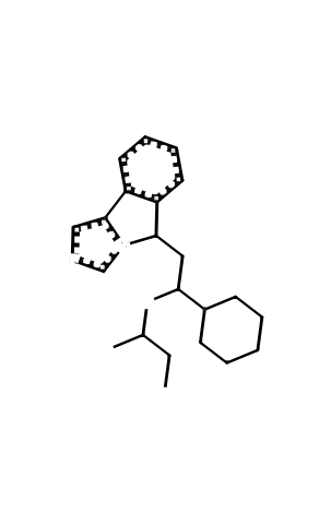 CCC(C)OC(CC1c2ccccc2-c2cncn21)C1CCCCC1